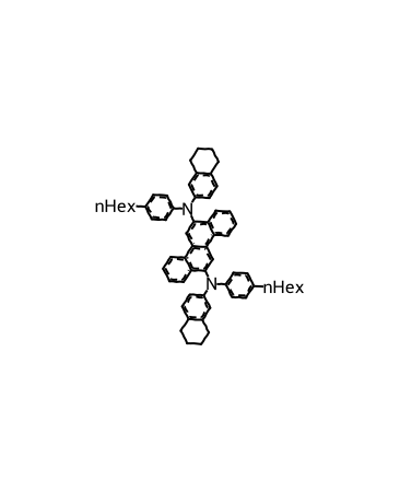 CCCCCCc1ccc(N(c2ccc3c(c2)CCCC3)c2cc3c4ccccc4c(N(c4ccc(CCCCCC)cc4)c4ccc5c(c4)CCCC5)cc3c3ccccc23)cc1